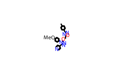 COc1ccc(-n2c(OCc3nc(-c4ccc(C)cc4)no3)nnc2-c2ccncc2)cc1